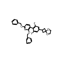 Fc1cc(C2CC3(C2)OCCO3)cc(F)c1-c1ccc(OCc2ccccc2)nc1OCc1ccccc1